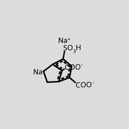 O=C([O-])c1cc(S(=O)(=O)O)c2c(C(=O)[O-])c1CC2.[Na+].[Na+]